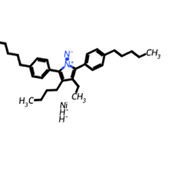 CCCCCc1ccc(C2=C(CC)C(CCCC)=C(c3ccc(CCCCC)cc3)[N+]2=[N-])cc1.[H-].[H-].[Ni]